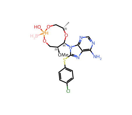 B[PH]1(O)OC[C@H](OC)[C@H](n2c(Sc3ccc(Cl)cc3)nc3c(N)ncnc32)O[C@@H](C)CO1